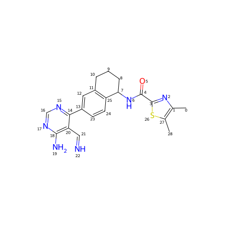 Cc1nc(C(=O)NC2CCCc3cc(-c4ncnc(N)c4C=N)ccc32)sc1C